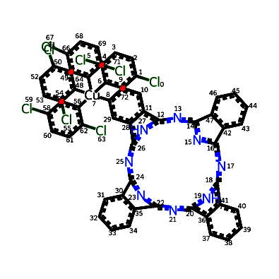 Clc1ccc(Cl)[c]([Cu]([c]2ccc3c4nc5nc(nc6[nH]c(nc7nc(nc([nH]4)c3c2)-c2ccccc2-7)c2ccccc62)-c2ccccc2-5)([c]2cc(Cl)ccc2Cl)([c]2cc(Cl)ccc2Cl)[c]2cc(Cl)ccc2Cl)c1